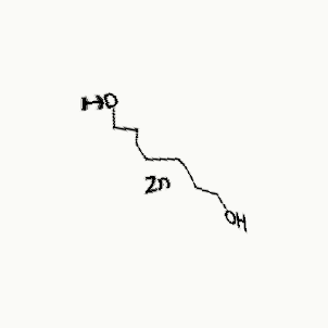 OCCCCCCO.[Zn]